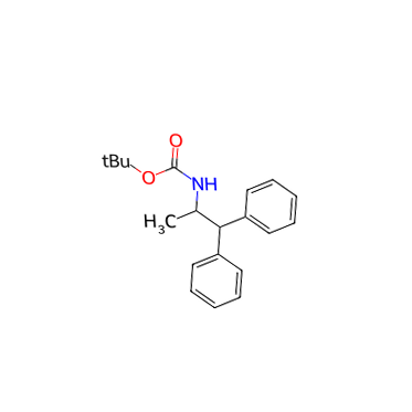 CC(NC(=O)OC(C)(C)C)C(c1ccccc1)c1ccccc1